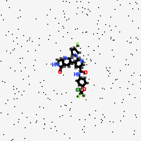 O=C(Nc1ccc(OC(F)(F)Cl)cc1)c1cnc(N2CC[C@H](F)C2)c(-c2cnc3c(c2)C(=O)NC3)c1